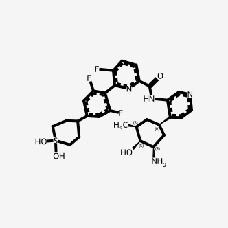 C[C@H]1C[C@@H](c2ccncc2NC(=O)c2ccc(F)c(-c3c(F)cc(C4CCS(O)(O)CC4)cc3F)n2)C[C@@H](N)[C@H]1O